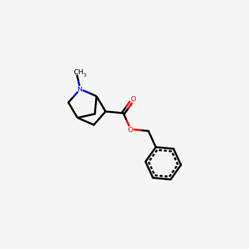 CN1CC2CC(C(=O)OCc3ccccc3)C1C2